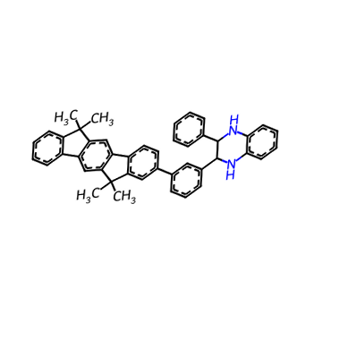 CC1(C)c2ccccc2-c2cc3c(cc21)-c1ccc(-c2cccc(C4Nc5ccccc5NC4c4ccccc4)c2)cc1C3(C)C